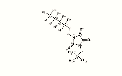 CC(C)(C)CN1C(=O)C(=O)N(CCC(F)(F)C(F)(F)C(F)(F)C(F)(F)F)C1=S